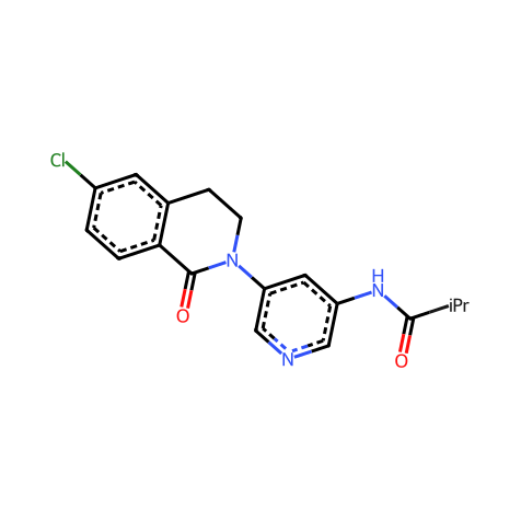 CC(C)C(=O)Nc1cncc(N2CCc3cc(Cl)ccc3C2=O)c1